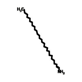 CCCCCCCCCCCCCCCCCCCCCCCCCCCCC=CN